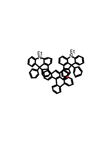 CCN1c2ccccc2C(c2ccccc2)(c2ccccc2)c2c(C3=c4cc5c(-c6cccc7c6C(c6ccccc6)(c6ccccc6)c6ccccc6N7CC)cccc5c(-c5ccccc5-c5ccccc5)c4=CCC3)cccc21